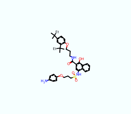 CCC(C)(C)c1ccc(OCCCNC(=O)c2cc(NS(=O)(=O)CCCOc3ccc(N)cc3)c3ccccc3c2O)c(C(C)(C)CC)c1